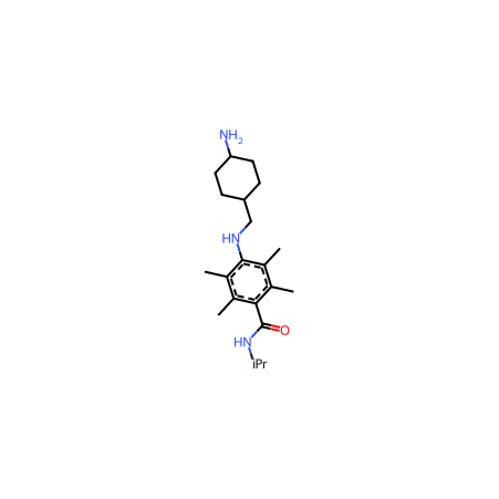 Cc1c(C)c(C(=O)NC(C)C)c(C)c(C)c1NCC1CCC(N)CC1